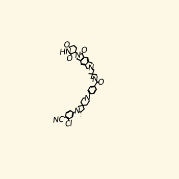 C[C@H]1CC2(CCN(c3ccc(C(=O)N4CC(C)(CN5Cc6cc7c(cc6C5)C(=O)N(C5CCC(=O)NC5=O)C7)C4)cc3)CC2)CN1c1ccc(C#N)c(Cl)c1